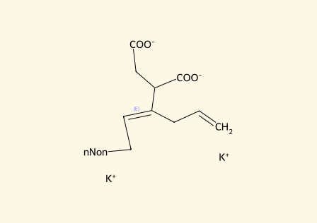 C=CC/C(=C\CCCCCCCCCC)C(CC(=O)[O-])C(=O)[O-].[K+].[K+]